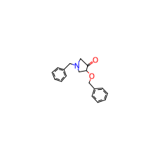 O=C1CN(Cc2ccccc2)CC1OCc1ccccc1